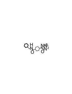 CN(C(=O)[C@@H](N)C1CCC(C(=O)NCc2ccccc2)CC1)C1CCC1